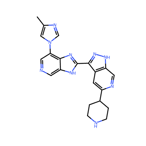 Cc1cn(-c2cncc3[nH]c(-c4n[nH]c5cnc(C6CCNCC6)cc45)nc23)cn1